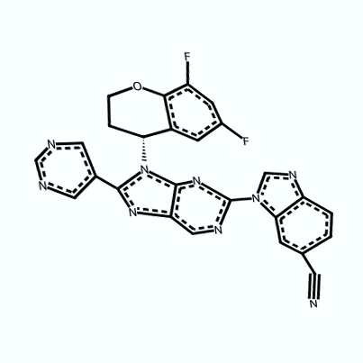 N#Cc1ccc2ncn(-c3ncc4nc(-c5cncnc5)n([C@@H]5CCOc6c(F)cc(F)cc65)c4n3)c2c1